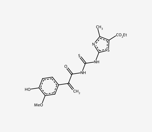 C=C(C(=O)NC(=S)Nc1nc(C)c(C(=O)OCC)s1)c1ccc(O)c(OC)c1